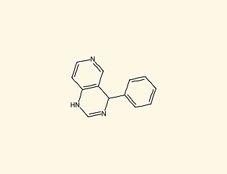 C1=NC(c2ccccc2)c2cnccc2N1